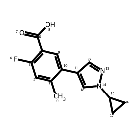 Cc1cc(F)c(C(=O)O)cc1-c1cnn(C2CC2)c1